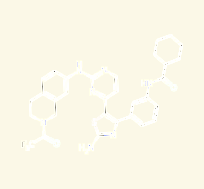 Nc1nc(-c2cccc(NC(=O)C3CCCCC3)c2)c(-c2ccnc(Nc3ccc4c(c3)CN(C(=O)C(F)(F)F)CC4)n2)s1